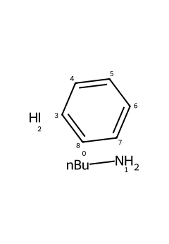 CCCCN.I.c1ccccc1